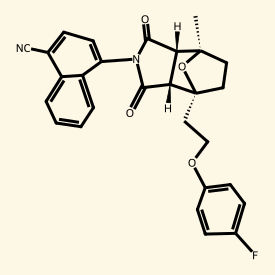 C[C@]12CC[C@](CCOc3ccc(F)cc3)(O1)[C@@H]1C(=O)N(c3ccc(C#N)c4ccccc34)C(=O)[C@@H]12